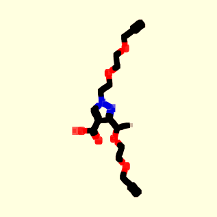 C#CCOCCOCCn1cc(C(=O)O)c(C([CH2])OCCOCC#C)n1